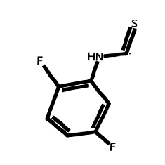 Fc1ccc(F)c(N[C]=S)c1